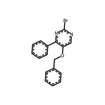 Brc1ncc(OCc2ccccc2)c(-c2ccccc2)n1